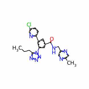 CCCc1nnnn1-c1cc(C(=O)NCc2cnc(C)cn2)cc(-c2ccc(Cl)cn2)c1